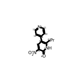 CC(C)c1[nH]c(=O)c([N+](=O)[O-])cc1-c1ccncc1